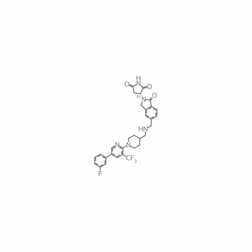 O=C1C[C@@H](N2Cc3cc(CNCC4CCN(c5ncc(-c6cccc(F)c6)cc5C(F)(F)F)CC4)ccc3C2=O)C(=O)N1